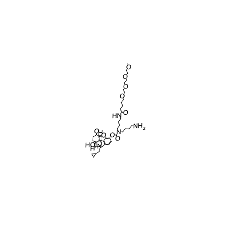 COCCOCCOCCOCCCCC(=O)NCCCCN(CCCCN)C(=O)Oc1ccc2c3c1O[C@H]1C(=O)CC[C@@]4(O)[C@@H](C2)N(CC2CC2)CC[C@]314